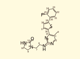 Cc1cnc(NCCN2CCNC2=O)nc1-c1ccc(-c2ccccc2F)s1